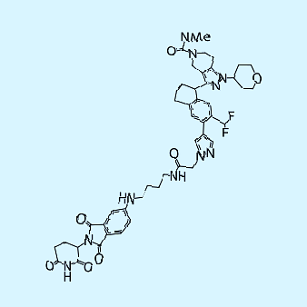 CNC(=O)N1CCc2c(c(C3CCCc4cc(-c5cnn(CC(=O)NCCCCNc6ccc7c(c6)C(=O)N(C6CCC(=O)NC6=O)C7=O)c5)c(C(F)F)cc43)nn2C2CCOCC2)C1